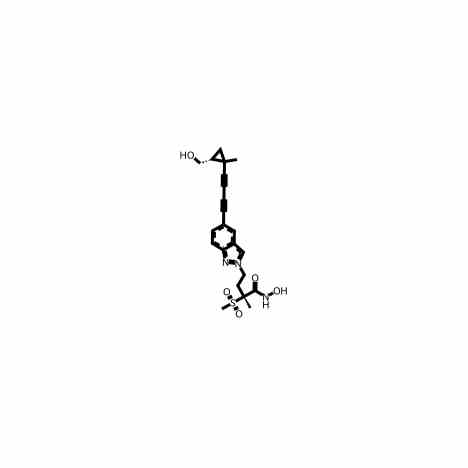 CC1(C#CC#Cc2ccc3nn(CC[C@](C)(C(=O)NO)S(C)(=O)=O)cc3c2)C[C@H]1CO